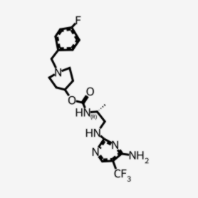 C[C@H](CNc1ncc(C(F)(F)F)c(N)n1)NC(=O)OC1CCN(Cc2ccc(F)cc2)CC1